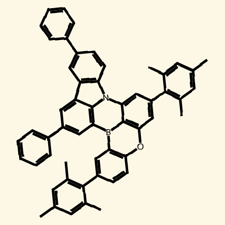 Cc1cc(C)c(-c2ccc3c(c2)B2c4c(cc(-c5c(C)cc(C)cc5C)cc4-n4c5ccc(-c6ccccc6)cc5c5cc(-c6ccccc6)cc2c54)O3)c(C)c1